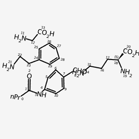 CCCC(=O)Nc1ccc(C=O)cc1.NCC(=O)O.NCCC[C@H](N)C(=O)O.NCCc1ccccc1